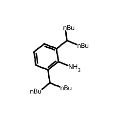 CCCCC(CCCC)c1cccc(C(CCCC)CCCC)c1N